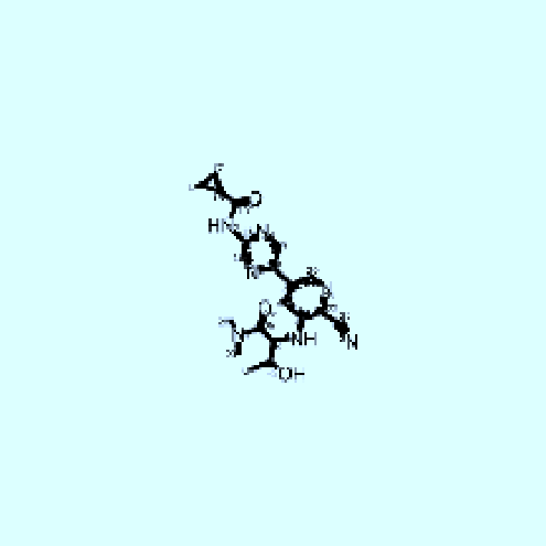 CC(O)C(Nc1cc(-c2cnc(NC(=O)C3CC3)cn2)cnc1C#N)C(=O)N(C)C